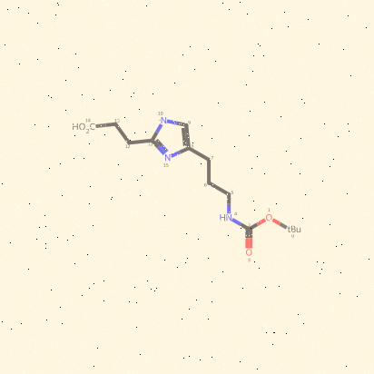 CC(C)(C)OC(=O)NCCCC1=C[N]C(CCC(=O)O)=N1